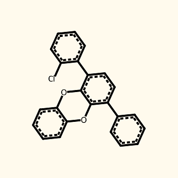 Clc1ccccc1-c1ccc(-c2ccccc2)c2c1Oc1ccccc1O2